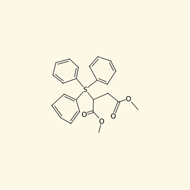 COC(=O)CC(C(=O)OC)S(c1ccccc1)(c1ccccc1)c1ccccc1